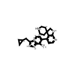 FC(F)(F)c1c(-c2ccnc3c2C2(CCNCC2)CO3)ccn2c(CC3CC3)nnc12